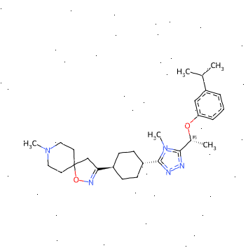 CC(C)c1cccc(O[C@H](C)c2nnc([C@H]3CC[C@H](C4=NOC5(CCN(C)CC5)C4)CC3)n2C)c1